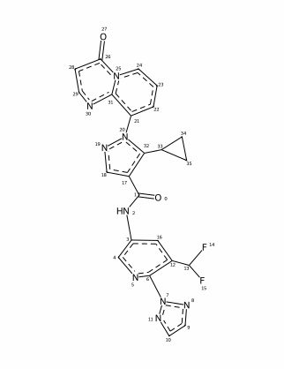 O=C(Nc1cnc(-n2nccn2)c(C(F)F)c1)c1cnn(-c2cccn3c(=O)ccnc23)c1C1CC1